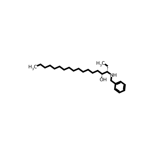 CCCCCCCCCCCCCC[C@@H](O)[C@H](CC)NCc1ccccc1